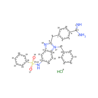 Cl.N=C(N)c1ccc(Cc2nc3cc(NS(=O)(=O)c4ccccc4)ccc3n2Cc2ccccc2)cc1